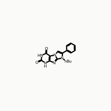 CCCCn1c(-c2ccccc2)cn2c3c(=O)[nH]c(=O)[nH]c3nc12